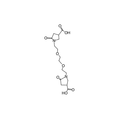 O=C(O)C1CC(=O)N(CCOCCOCCN2CC(C(=O)O)CC2=O)C1